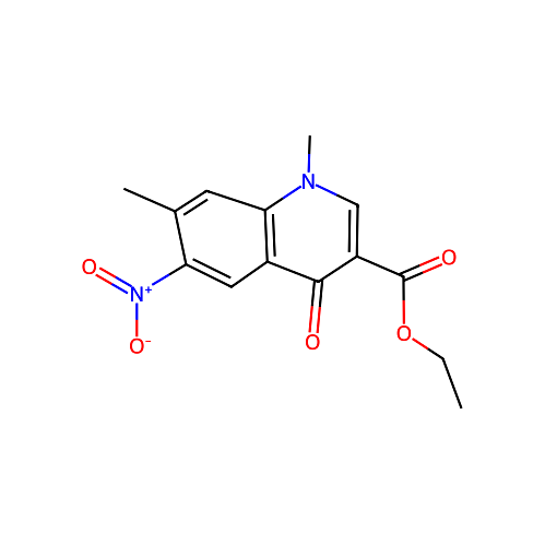 CCOC(=O)c1cn(C)c2cc(C)c([N+](=O)[O-])cc2c1=O